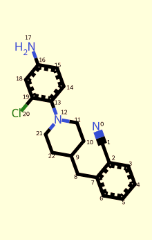 N#Cc1ccccc1CC1CCN(c2ccc(N)cc2Cl)CC1